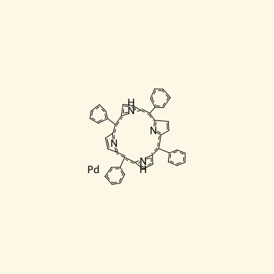 C1=Cc2nc1c(-c1ccccc1)c1ccc([nH]1)c(-c1ccccc1)c1nc(c(-c3ccccc3)c3ccc([nH]3)c2-c2ccccc2)C=C1.[Pd]